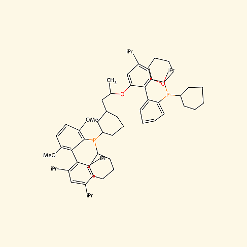 COc1ccc(OC)c(P(C2CCCCC2)C2CCCC(CC(C)Oc3cc(C(C)C)cc(OC(C)C)c3-c3ccccc3P(C3CCCCC3)C3CCCCC3)C2)c1-c1c(C(C)C)cc(C(C)C)cc1C(C)C